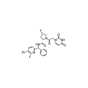 CC(C)c1ccc([C@@H](NC(=O)[C@@H]2C[C@@H](F)CN2C(=O)Cn2ccc(=O)[nH]c2=O)c2ccccc2)nc1F